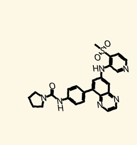 CS(=O)(=O)c1ccncc1Nc1cc(-c2ccc(NC(=O)N3CCCC3)cc2)c2nccnc2c1